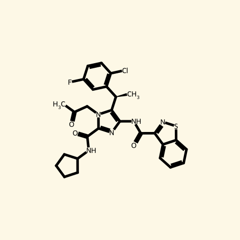 CC(=O)Cn1c(C(=O)NC2CCCC2)nc(NC(=O)c2nsc3ccccc23)c1[C@H](C)c1cc(F)ccc1Cl